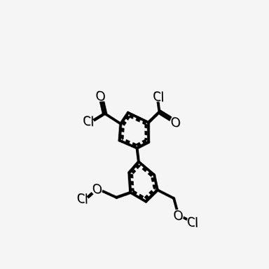 O=C(Cl)c1cc(C(=O)Cl)cc(-c2cc(COCl)cc(COCl)c2)c1